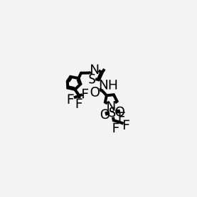 Cc1nc(Cc2cccc(C(F)(F)F)c2)sc1NC(=O)C1CCN(S(=O)(=O)CC(F)(F)F)C1